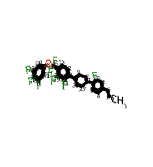 CCCc1ccc(C2CCC(c3ccc(C(F)(F)Oc4cc(F)c(F)c(F)c4)c(F)c3F)CC2)c(F)c1